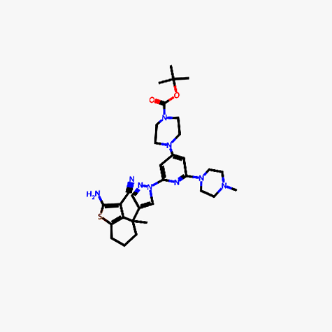 CN1CCN(c2cc(N3CCN(C(=O)OC(C)(C)C)CC3)cc(-n3cc(C4(C)CCCc5sc(N)c(C#N)c54)cn3)n2)CC1